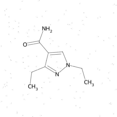 CCc1nn(CC)cc1C(N)=O